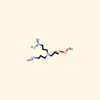 CCCCO[SiH2]CCCN(CCCNCCC)CCCN(C)CC